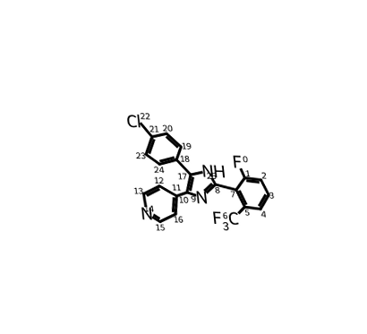 Fc1cccc(C(F)(F)F)c1-c1nc(-c2ccncc2)c(-c2ccc(Cl)cc2)[nH]1